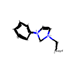 CCCCCCCCN1C=CN(c2ccccc2)C1